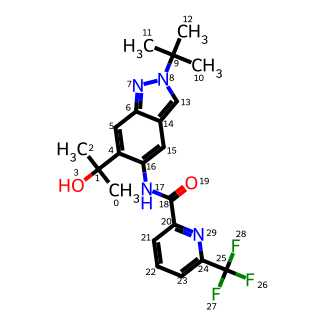 CC(C)(O)c1cc2nn(C(C)(C)C)cc2cc1NC(=O)c1cccc(C(F)(F)F)n1